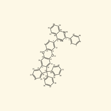 c1ccc(-c2nc(-c3ccc4c(c3)Oc3cc5c(cc3O4)-c3ccccc3C5(c3ccccc3)c3ccccc3)c3ccccc3n2)cc1